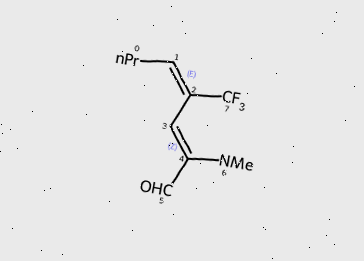 CCC/C=C(\C=C(\C=O)NC)C(F)(F)F